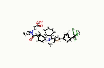 Cc1sc(-c2ccc(C(F)(F)F)cc2)cc1C(Nc1ccc(C(=O)N(C)CCC(=O)O)cc1)C1CCCCC1